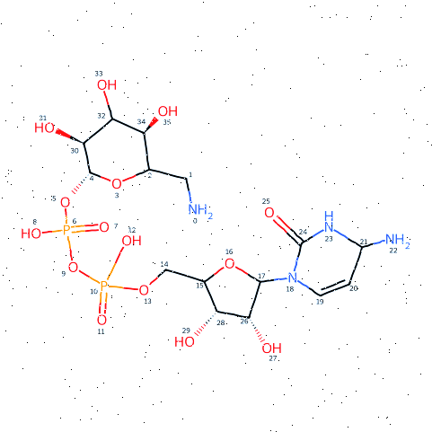 NCC1O[C@H](OP(=O)(O)OP(=O)(O)OCC2OC(N3C=CC(N)NC3=O)[C@H](O)[C@@H]2O)[C@@H](O)C(O)[C@H]1O